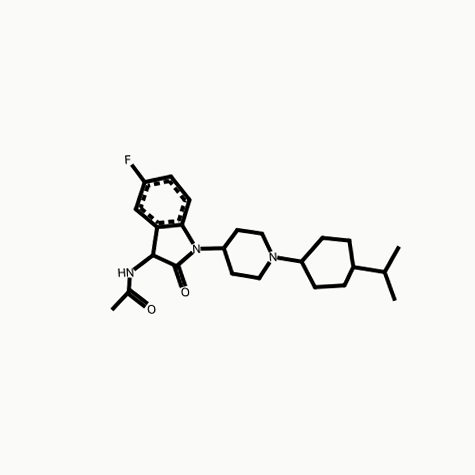 CC(=O)NC1C(=O)N(C2CCN(C3CCC(C(C)C)CC3)CC2)c2ccc(F)cc21